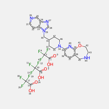 O=C(O)C(F)(F)F.O=C(O)C(F)(F)F.O=C(O)C(F)(F)F.c1cc2c(cn1)ncn2CC1CCN(c2ccc3c(n2)OCCNC3)CC1